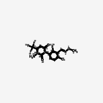 CON=Cc1c(Cl)ccc(-n2c(=O)cc(C(F)(F)F)n(N)c2=O)c1F